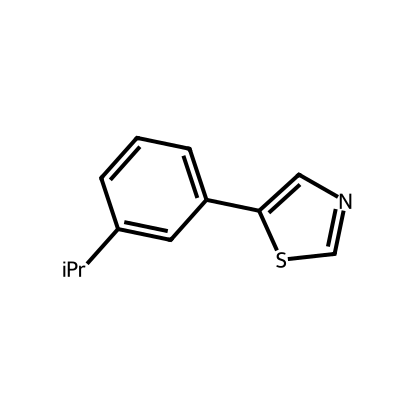 CC(C)c1cccc(-c2cncs2)c1